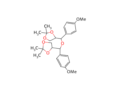 COc1ccc(C(OC(c2ccc(OC)cc2)C2COC(C)(C)O2)C2COC(C)(C)O2)cc1